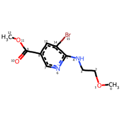 COCCNc1ncc(C(=O)OC)cc1Br